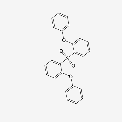 O=S(=O)(c1ccccc1Oc1ccccc1)c1ccccc1Oc1ccccc1